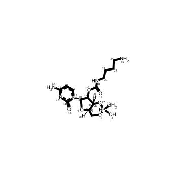 B[PH]1(O)OC[C@H]2O[C@@H](n3ccc(N)nc3=O)C(OC(=O)NCCCCN)[C@@H]2O1